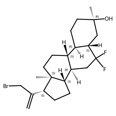 C=C(CBr)[C@H]1CC[C@H]2[C@@H]3CC(F)(F)[C@H]4C[C@](C)(O)CC[C@@H]4[C@H]3CC[C@]12C